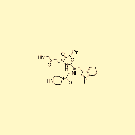 CC(C)SC(=O)[C@H](CCC(=O)C=N)NC(=O)[C@H](Cc1c[nH]c2ccccc12)NCC(=O)N1CCNCC1